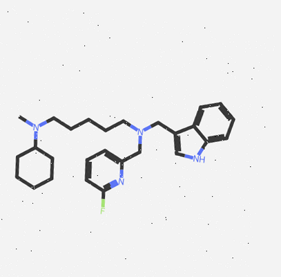 CN(CCCCCN(Cc1cccc(F)n1)Cc1c[nH]c2ccccc12)C1CCCCC1